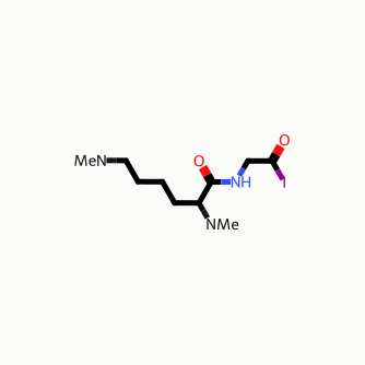 CNCCCCC(NC)C(=O)NCC(=O)I